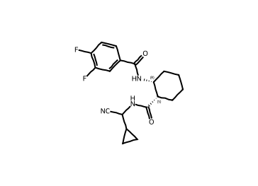 N#CC(NC(=O)[C@H]1CCCC[C@H]1NC(=O)c1ccc(F)c(F)c1)C1CC1